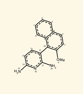 COc1ccc2ccccc2c1-c1ccc(N)nc1N